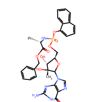 CC(C)[C@H](NP(=O)(OC[C@H]1OC(n2cnc3c(=O)[nH]c(N)nc32)[C@](C)(O)[C@@H]1O)Oc1cccc2ccccc12)C(=O)OCc1ccccc1